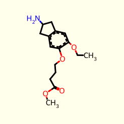 CCOc1cc2c(cc1OCCCC(=O)OC)CC(N)C2